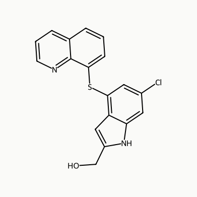 OCc1cc2c(Sc3cccc4cccnc34)cc(Cl)cc2[nH]1